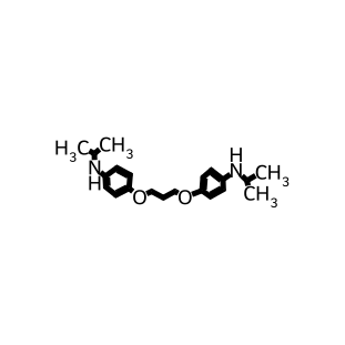 CC(C)Nc1ccc(OCCCOc2ccc(NC(C)C)cc2)cc1